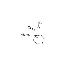 [C]#C[N@+]1(C(=O)OC(C)(C)C)C=NC=CC1